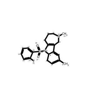 CC1=CCC2C(=C1)C1=C(CCCN(C)C1)N2S(=O)(=O)c1ccccc1F